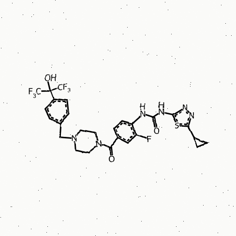 O=C(Nc1nnc(C2CC2)s1)Nc1ccc(C(=O)N2CCN(Cc3ccc(C(O)(C(F)(F)F)C(F)(F)F)cc3)CC2)cc1F